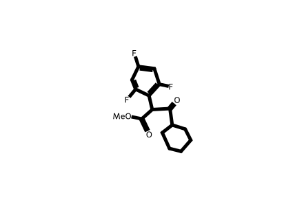 COC(=O)C(C(=O)C1CCCCC1)c1c(F)cc(F)cc1F